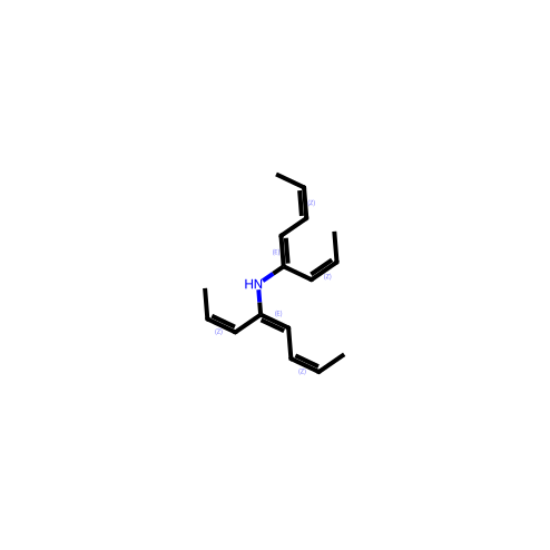 C\C=C/C=C(\C=C/C)NC(/C=C\C)=C/C=C\C